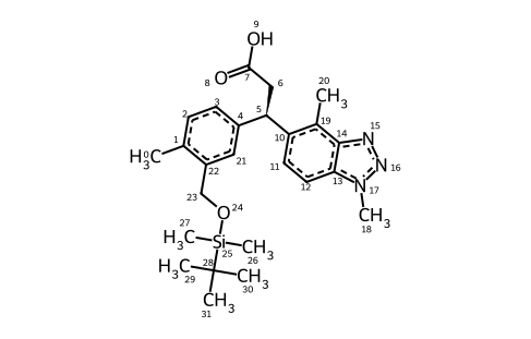 Cc1ccc([C@@H](CC(=O)O)c2ccc3c(nnn3C)c2C)cc1CO[Si](C)(C)C(C)(C)C